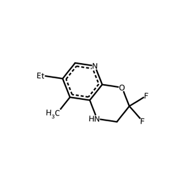 CCc1cnc2c(c1C)NCC(F)(F)O2